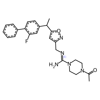 CC(=O)N1CCN(/C(N)=N/Cc2cc(C(C)c3ccc(-c4ccccc4)c(F)c3)on2)CC1